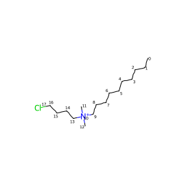 CCCCCCCCCC[N+](C)(C)CCCCCl